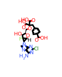 Nc1nc(Cl)nc2c1ncn2C1[C@@H]2O[C@H](COC(Cc3ccc(C(=O)O)cc3)(C(=O)O)C(=O)O)[C@H](O)[C@@]12F